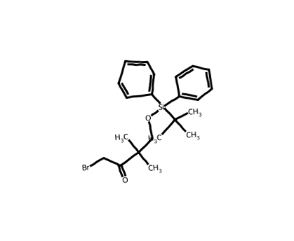 CC(C)(CO[Si](c1ccccc1)(c1ccccc1)C(C)(C)C)C(=O)CBr